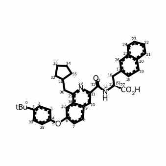 CC(C)(C)c1ccc(Oc2ccc3cc(C(=O)N[C@@H](Cc4ccc5ccccc5c4)C(=O)O)nc(CC4CCCC4)c3c2)cc1